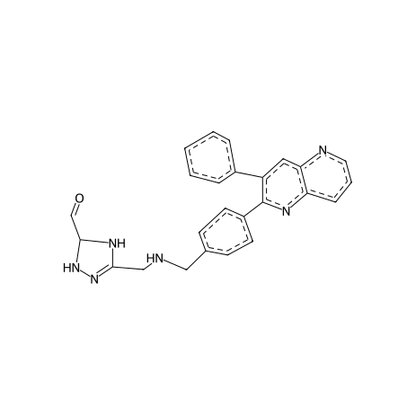 O=CC1NN=C(CNCc2ccc(-c3nc4cccnc4cc3-c3ccccc3)cc2)N1